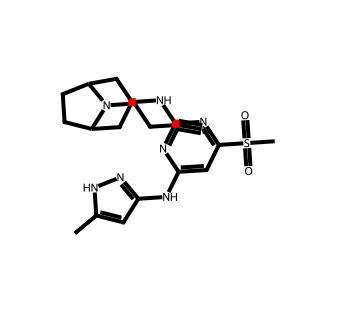 Cc1cc(Nc2cc(S(C)(=O)=O)nc(NC3CC4CCC(C3)N4CCC#N)n2)n[nH]1